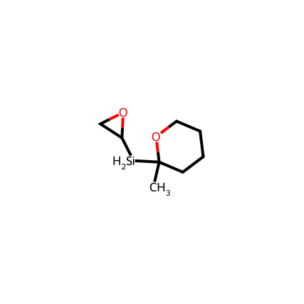 CC1([SiH2]C2CO2)CCCCO1